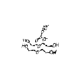 O=S([O-])[O-].OCCOCCO.OCCOCCO.[Na+].[Na+]